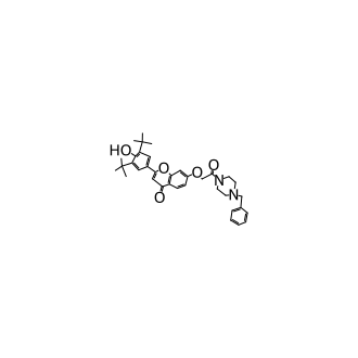 CC(C)(C)c1cc(-c2cc(=O)c3ccc(OCC(=O)N4CCN(Cc5ccccc5)CC4)cc3o2)cc(C(C)(C)C)c1O